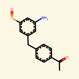 CC(=O)c1ccc(Cc2cc(N)cc(P=O)c2)cc1